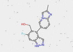 Cc1cn2cc(-c3c(CO)c(F)cc4[nH]ncc34)ccc2n1